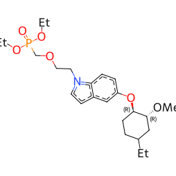 CCOP(=O)(COCCn1ccc2cc(O[C@@H]3CCC(CC)C[C@H]3OC)ccc21)OCC